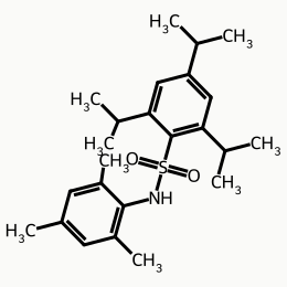 Cc1cc(C)c(NS(=O)(=O)c2c(C(C)C)cc(C(C)C)cc2C(C)C)c(C)c1